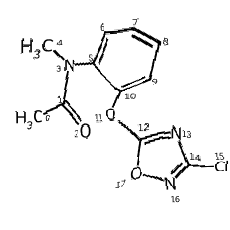 CC(=O)N(C)c1ccccc1Oc1nc(Cl)no1